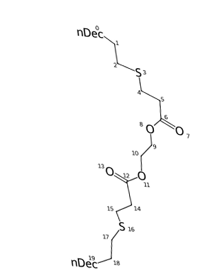 CCCCCCCCCCCCSCCC(=O)OCCOC(=O)CCSCCCCCCCCCCCC